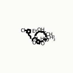 CC[C@@H]1CCN2C[C@@H](CCCc3cccc(Cl)c3)COc3ccc(cc32)C(=O)/N=[SH](=O)\[C@H](C)[C@@H](C)C/C=C/[C@@H]1O